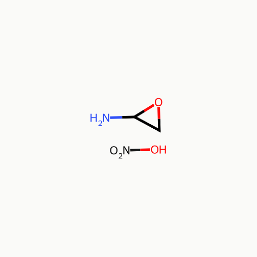 NC1CO1.O=[N+]([O-])O